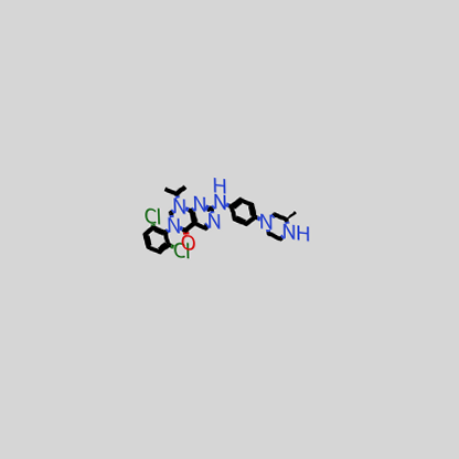 CC(C)N1CN(c2c(Cl)cccc2Cl)C(=O)c2cnc(Nc3ccc(N4CCN[C@H](C)C4)cc3)nc21